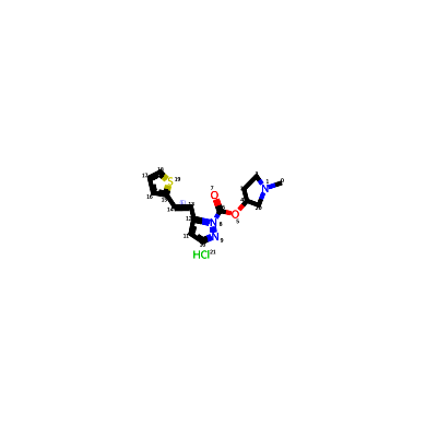 CN1CCC(OC(=O)n2nccc2/C=C/c2cccs2)C1.Cl